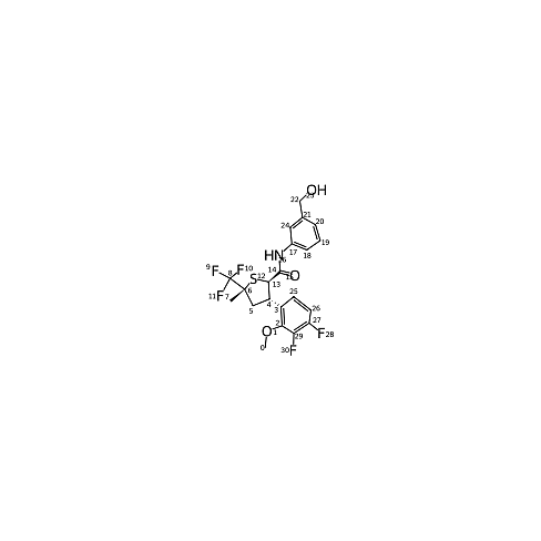 COc1c([C@@H]2C[C@](C)(C(F)(F)F)S[C@H]2C(=O)Nc2cccc(CO)c2)ccc(F)c1F